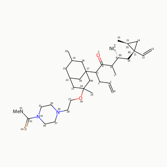 C=CCC(C(=O)C(C)[C@H](C#N)C[C@]1(C=C)C[C@@H]1C)C12CC(C)CC(CC(C)(OCCN3CCN(C(=S)NC)CC3)C1)C2